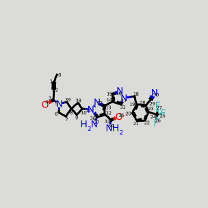 CC#CC(=O)N1CCC2(CC(n3nc(-c4cnn(Cc5cccc(C(F)(F)F)c5C#N)c4)c(C(N)=O)c3N)C2)C1